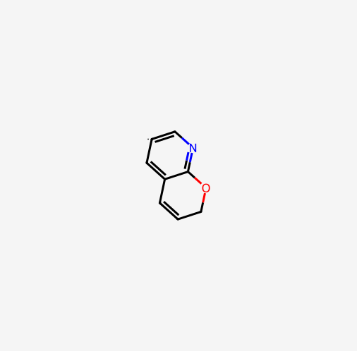 [c]1cnc2c(c1)C=CCO2